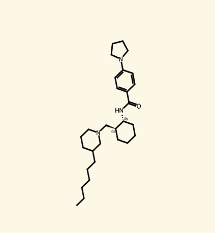 CCCCCCC1CCCN(C[C@@H]2CCCC[C@H]2NC(=O)c2ccc(N3CCCC3)cc2)C1